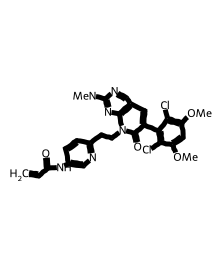 C=CC(=O)Nc1ccc(CCn2c(=O)c(-c3c(Cl)c(OC)cc(OC)c3Cl)cc3cnc(NC)nc32)nc1